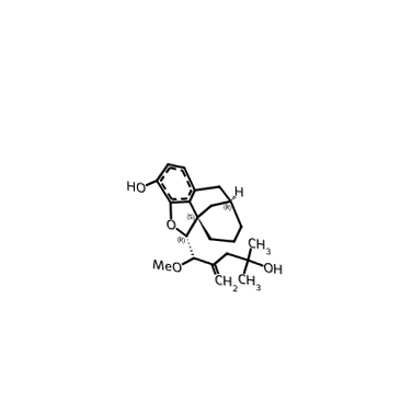 C=C(CC(C)(C)O)C(OC)[C@@H]1Oc2c(O)ccc3c2[C@@]12CCC[C@H](C3)C2